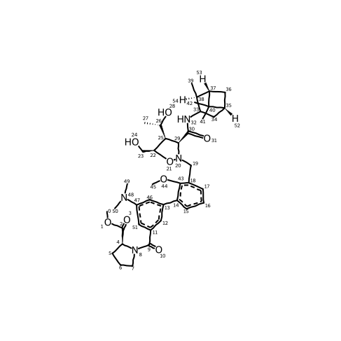 COC(=O)[C@@H]1CCCN1C(=O)c1cc(-c2cccc(CN3O[C@@H](CO)[C@@H]([C@H](C)O)[C@H]3C(=O)NC3C[C@H]4C[C@@H]([C@@H]3C)C4(C)C)c2OC)cc(N(C)C)c1